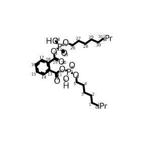 CC(C)CCCCCOP(=O)(O)OC(=O)c1ccccc1C(=O)OP(=O)(O)OCCCCCC(C)C